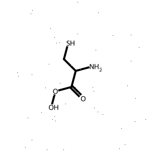 NC(CS)C(=O)OO